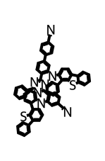 N#Cc1ccc(-c2ccc(-c3nc(-c4ccccc4)nc(-c4ccc(C#N)cc4-n4c5ccccc5c5c6sc7ccccc7c6ccc54)n3)c(-n3c4ccccc4c4c5sc6ccccc6c5ccc43)c2)cc1